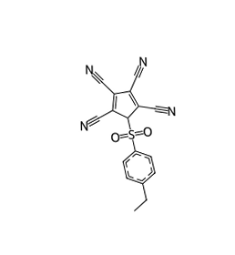 CCc1ccc(S(=O)(=O)C2C(C#N)=C(C#N)C(C#N)=C2C#N)cc1